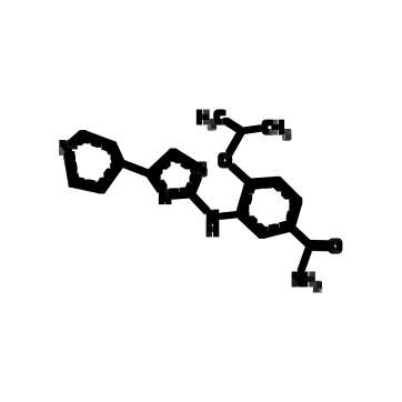 CC(C)Oc1ccc(C(N)=O)cc1Nc1nc(-c2ccncc2)cs1